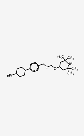 CCCC1CCC(c2ccc(COCOC3CC(C)(C)NC(C)(C)C3)cc2)CC1